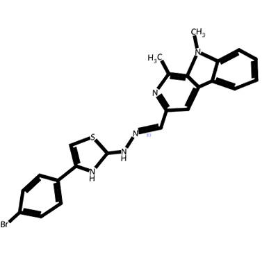 Cc1nc(/C=N/NC2NC(c3ccc(Br)cc3)=CS2)cc2c3ccccc3n(C)c12